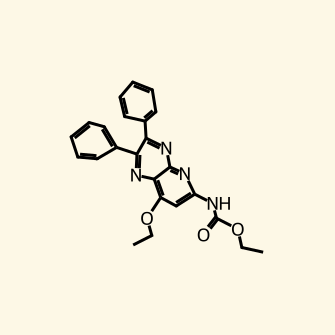 CCOC(=O)Nc1cc(OCC)c2nc(-c3ccccc3)c(-c3ccccc3)nc2n1